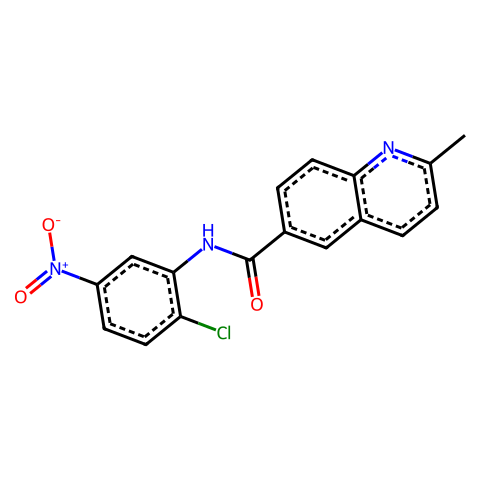 Cc1ccc2cc(C(=O)Nc3cc([N+](=O)[O-])ccc3Cl)ccc2n1